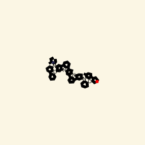 C=C/C(C)=C(\C=C)N(C1=CCCc2c1oc1ccccc21)c1ccc2c(c1)c1cccc3c4cc5c(cc4n2c13)c1cccc2c3cc(N(c4ccccc4)c4c(C)ccc6c4oc4ccccc46)ccc3n5c21